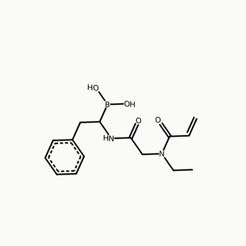 C=CC(=O)N(CC)CC(=O)NC(Cc1ccccc1)B(O)O